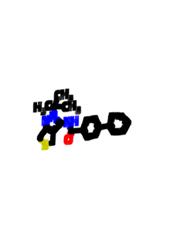 CC(C)(C)n1nc2c(c1NC(=O)c1ccc(-c3ccccc3)cc1)CSC2